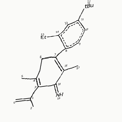 C=C(C)C1=C(C)CC(c2ccc(C(C)(C)C)cc2CC)=C(C)C1=N